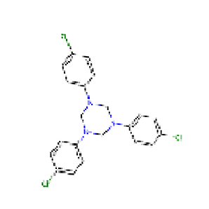 Clc1ccc(N2CN(c3ccc(Cl)cc3)CN(c3ccc(Cl)cc3)C2)cc1